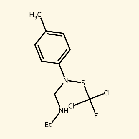 CCNCN(SC(F)(Cl)Cl)c1ccc(C)cc1